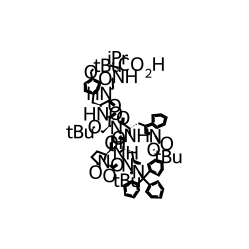 CC(C)C[C@H](NC(=O)CNC(=O)[C@H](Cc1ccc(OC(C)(C)C)cc1)NC(=O)[C@H](COC(C)(C)C)NC(=O)[C@H](Cc1cn(C(=O)OC(C)(C)C)c2ccccc12)NC(=O)[C@H](Cc1cn(C(c2ccccc2)(c2ccccc2)c2ccccc2)cn1)NC(=O)[C@@H]1CCC(=O)N1C(=O)OC(C)(C)C)C(=O)O